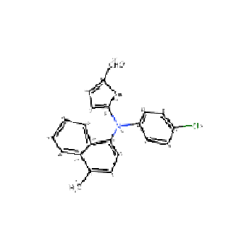 Cc1ccc(N(c2ccc(Cl)cc2)c2ccc(C=O)[se]2)c2ccccc12